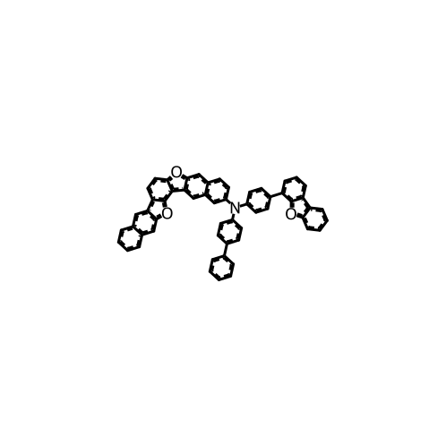 c1ccc(-c2ccc(N(c3ccc(-c4cccc5c4oc4ccccc45)cc3)c3ccc4cc5oc6ccc7c8cc9ccccc9cc8oc7c6c5cc4c3)cc2)cc1